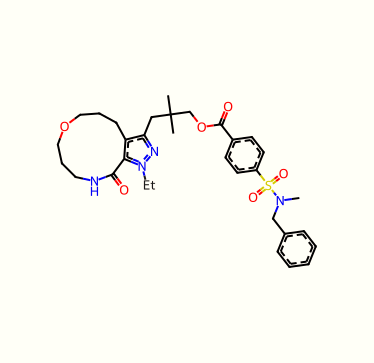 CCn1nc(CC(C)(C)COC(=O)c2ccc(S(=O)(=O)N(C)Cc3ccccc3)cc2)c2c1C(=O)NCCCOCCC2